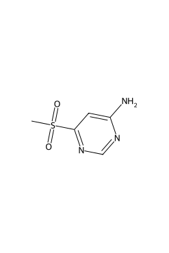 CS(=O)(=O)c1cc(N)ncn1